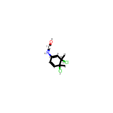 CC1(Cl)C=CC(N=C=O)=CC1(C)Cl